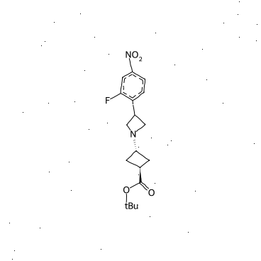 CC(C)(C)OC(=O)[C@H]1C[C@H](N2CC(c3ccc([N+](=O)[O-])cc3F)C2)C1